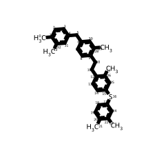 Cc1ccc(Cc2ccc(CCc3ccc(Sc4ccc(C)c(C)c4)cc3C)c(C)c2)cc1C